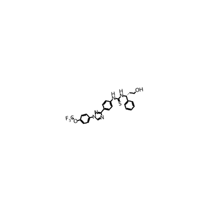 OCC[C@@H](NC(=S)Nc1ccc(-c2ncn(-c3ccc(OC(F)(F)F)cc3)n2)cc1)c1ccccc1